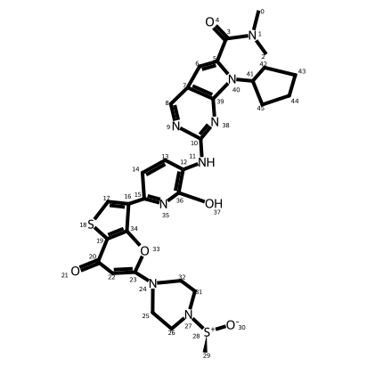 CN(C)C(=O)c1cc2cnc(Nc3ccc(-c4csc5c(=O)cc(N6CCN([S@+](C)[O-])CC6)oc45)nc3O)nc2n1C1CCCC1